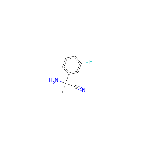 C[C@@](N)(C#N)c1cccc(F)c1